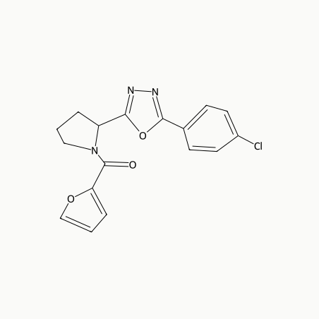 O=C(c1ccco1)N1CCCC1c1nnc(-c2ccc(Cl)cc2)o1